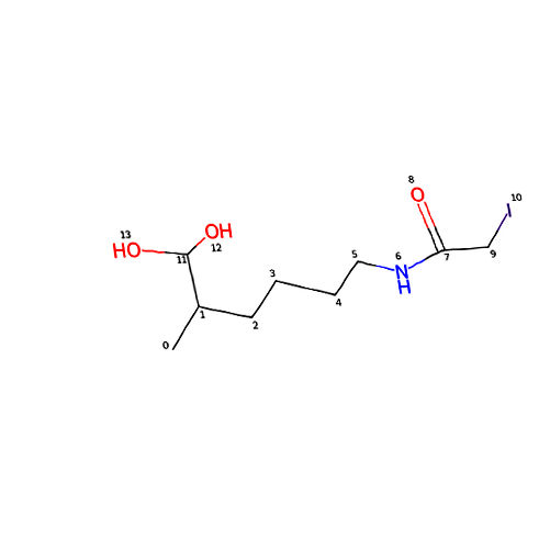 CC(CCCCNC(=O)CI)C(O)O